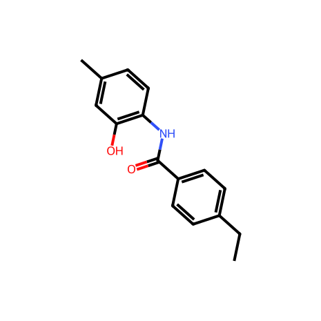 CCc1ccc(C(=O)Nc2ccc(C)cc2O)cc1